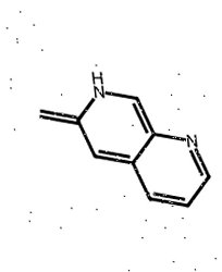 C=C1C=c2cccnc2=CN1